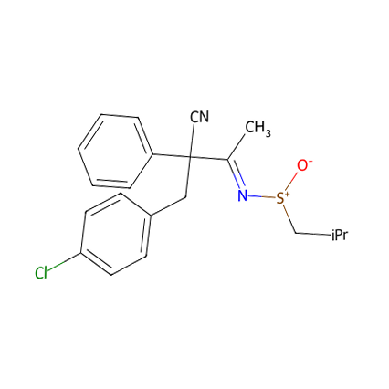 CC(=N[S+]([O-])CC(C)C)C(C#N)(Cc1ccc(Cl)cc1)c1ccccc1